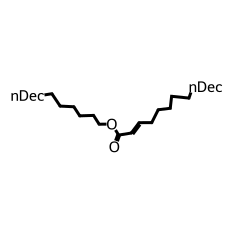 CCCCCCCCCCCCCCCC=CC(=O)OCCCCCCCCCCCCCCCC